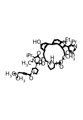 CCn1c(-c2cncnc2C(C)C)c2c3cc(ccc31)-c1cc(O)cc(c1)C[C@H](NC(=O)[C@H](C(C)C)N(C)C(=O)[C@H]1CCN(C(=O)C#CCN(C)C)C1)C(=O)N1CCC[C@H](N1)C(=O)OCC(C)(C)C2